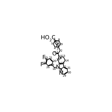 O=C(CC12CCC(C(=O)O)(CC1)CC2)N1CCc2c(n(Cc3ccc(F)c(F)c3)c3ncccc23)C1